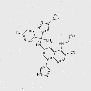 BC(Nc1cc(-c2cn[nH]c2)c2ncc(C#N)c(NCC(C)(C)C)c2c1)(c1ccc(F)cc1)c1cn(C2CC2)nn1